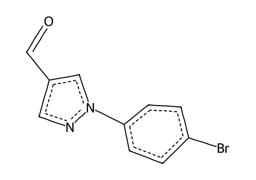 O=Cc1cnn(-c2ccc(Br)cc2)c1